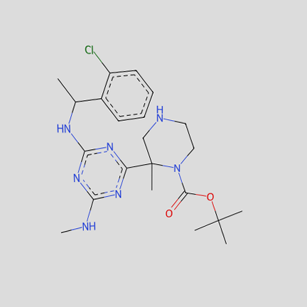 CNc1nc(NC(C)c2ccccc2Cl)nc(C2(C)CNCCN2C(=O)OC(C)(C)C)n1